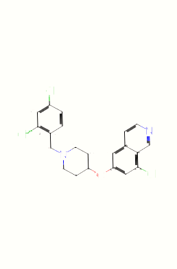 Clc1ccc(CN2CCC(Oc3cc(Cl)c4cnccc4c3)CC2)c(Cl)c1